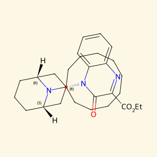 CCOC(=O)c1nc2ccccc2n([C@H]2C[C@H]3CCC[C@@H](C2)N3C2CCCCCCCCC2)c1=O